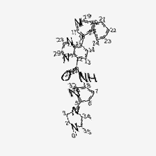 CN1CCN(c2ccc(NC(=O)c3ccc(-c4cncc5ccccc45)c4nccnc34)cn2)CC1